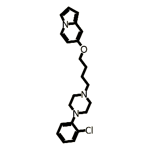 Clc1ccccc1N1CCN(CCCCOc2ccn3cccc3c2)CC1